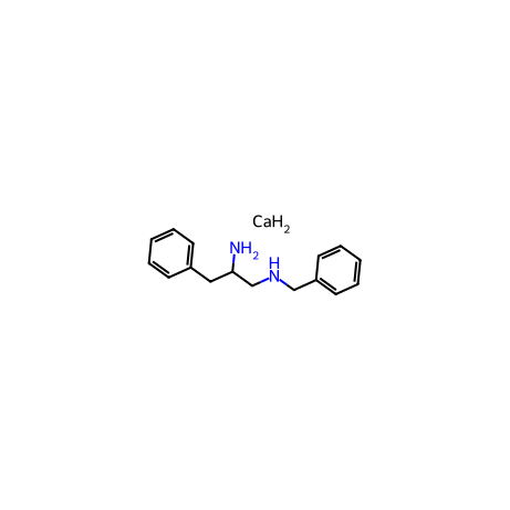 NC(CNCc1ccccc1)Cc1ccccc1.[CaH2]